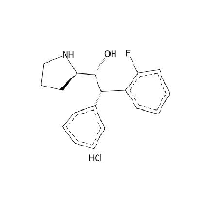 Cl.O[C@H]([C@@H](c1ccccc1)c1ccccc1F)[C@H]1CCCN1